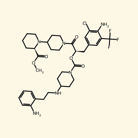 COC(=O)[C@H]1CCCCN1C1CCN(C(=O)[C@@H](Cc2cc(Cl)c(N)c(C(F)(F)F)c2)OC(=O)N2CCC(NCCc3ccccc3N)CC2)CC1